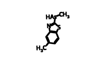 C[AsH]c1nc2cc(C)ccc2s1